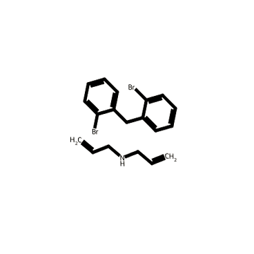 Brc1ccccc1Cc1ccccc1Br.C=CCNCC=C